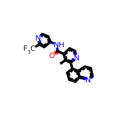 Cc1c(C(=O)Nc2ccnc(C(F)(F)F)c2)ccnc1-c1cccc2ncccc12